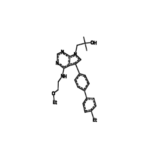 CCOCCNc1ncnc2c1c(-c1ccc(-c3ccc(CC)cc3)cc1)cn2CC(C)(C)O